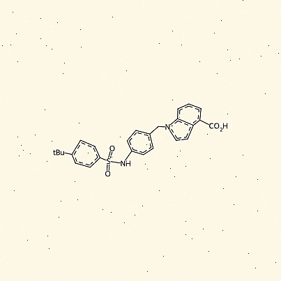 CC(C)(C)c1ccc(S(=O)(=O)Nc2ccc(Cn3ccc4c(C(=O)O)cccc43)cc2)cc1